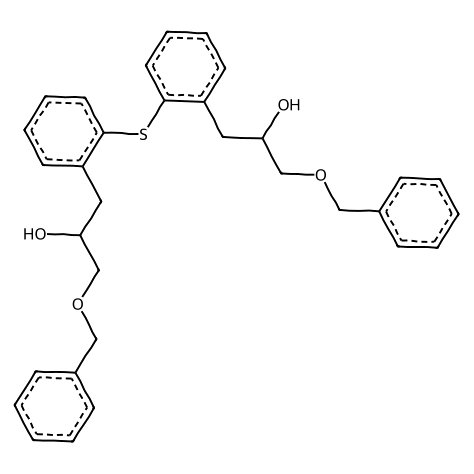 OC(COCc1ccccc1)Cc1ccccc1Sc1ccccc1CC(O)COCc1ccccc1